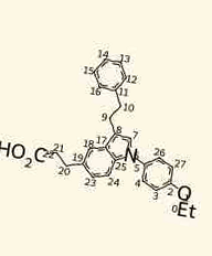 CCOc1ccc(-n2cc(CCc3ccccc3)c3cc(CCC(=O)O)ccc32)cc1